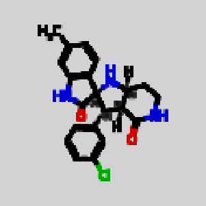 Cc1ccc2c(c1)NC(=O)[C@@]21N[C@H]2CCNC(=O)[C@H]2[C@@H]1c1cccc(Cl)c1